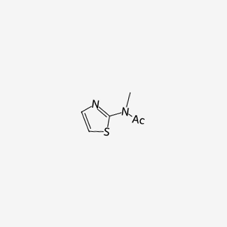 CC(=O)N(C)c1nccs1